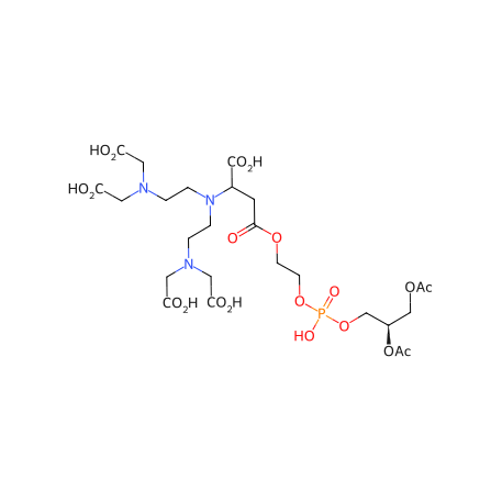 CC(=O)OC[C@H](COP(=O)(O)OCCOC(=O)CC(C(=O)O)N(CCN(CC(=O)O)CC(=O)O)CCN(CC(=O)O)CC(=O)O)OC(C)=O